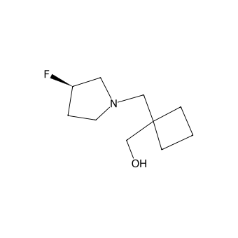 OCC1(CN2CC[C@@H](F)C2)CCC1